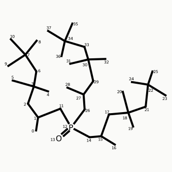 CC(CC(C)(C)CC(C)(C)C)CP(=O)(CC(C)CC(C)(C)CC(C)(C)C)CC(C)CC(C)(C)CC(C)(C)C